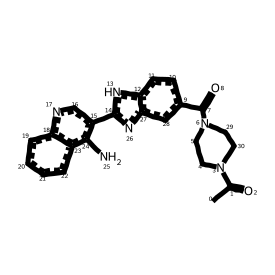 CC(=O)N1CCN(C(=O)c2ccc3[nH]c(-c4cnc5ccccc5c4N)nc3c2)CC1